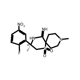 CN1CCC2(CC1)C(=N)N[C@](C)(c1cc([N+](=O)[O-])ccc1F)CS2(=O)=O